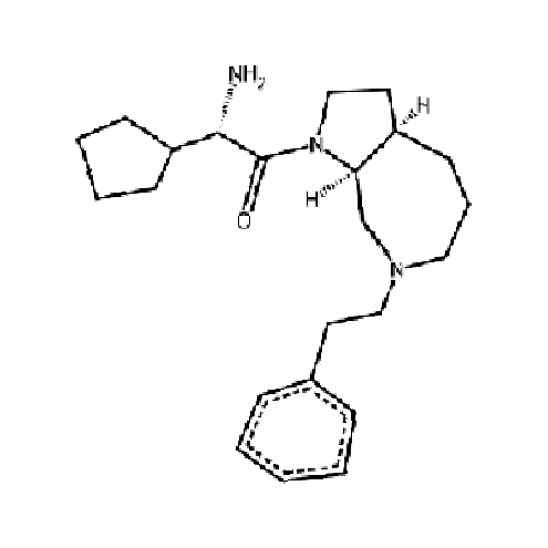 N[C@H](C(=O)N1CC[C@H]2CCCN(CCc3ccccc3)C[C@H]21)C1CCCC1